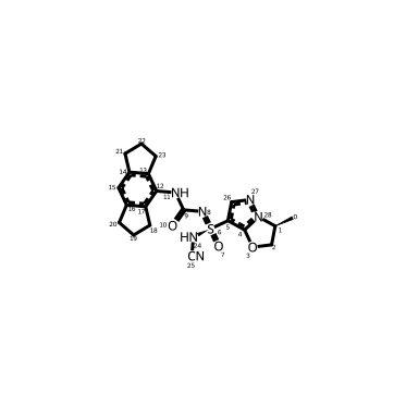 C[C@H]1COc2c([S@](=O)(=NC(=O)Nc3c4c(cc5c3CCC5)CCC4)NC#N)cnn21